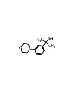 CC(C)(S)c1cccc(N2CCOCC2)c1